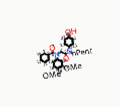 CCCCCN(C(=O)CN(C(=O)c1ccccc1)c1ccc(OC)c(OC)c1)c1ccc(O)cc1